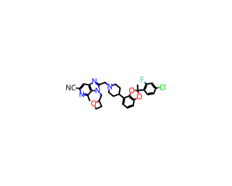 Cc1nc(C#N)cc2nc(CN3CCC(c4cccc5c4OC(C)(c4ccc(Cl)cc4F)O5)CC3)n(CC3CCO3)c12